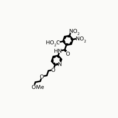 COCCOCCOc1ccc(NC(=O)c2cc([N+](=O)[O-])c([N+](=O)[O-])cc2C(=O)O)cn1